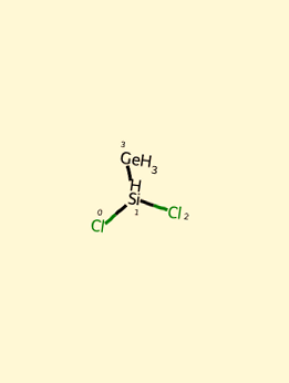 Cl[SiH](Cl)[GeH3]